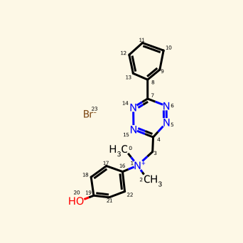 C[N+](C)(Cc1nnc(-c2ccccc2)nn1)c1ccc(O)cc1.[Br-]